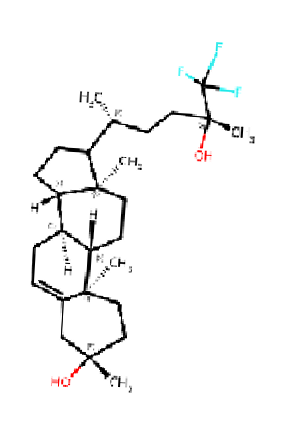 C[C@H](CC[C@@](C)(O)C(F)(F)F)C1CC[C@H]2[C@@H]3CC=C4C[C@@](C)(O)CC[C@]4(C)[C@H]3CC[C@]12C